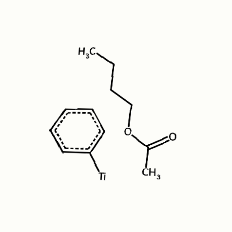 CCCCOC(C)=O.[Ti][c]1ccccc1